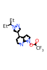 CCC(CC)n1cc(-c2ccnc3c2ccn3OC(=O)C(F)(F)F)cn1